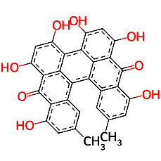 Cc1cc(O)c2c(=O)c3c(O)cc(O)c4c5c(O)cc(O)c6c(=O)c7c(O)cc(C)cc7c(c65)c(c2c1)c34